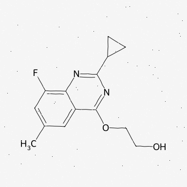 Cc1cc(F)c2nc(C3CC3)nc(OCCO)c2c1